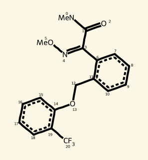 CNC(=O)/C(=N\OC)c1ccccc1COc1ccccc1C(F)(F)F